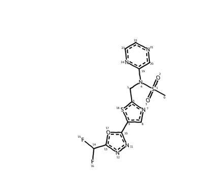 CS(=O)(=O)N(Cc1ncc(-c2nnc(C(F)F)o2)s1)c1cnccn1